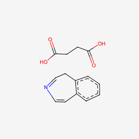 C1=Cc2ccccc2CC=N1.O=C(O)CCC(=O)O